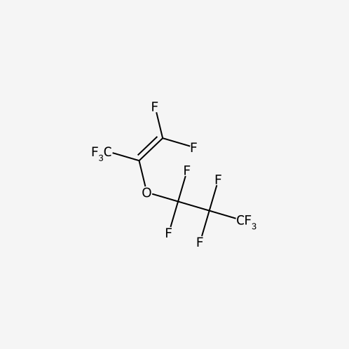 FC(F)=C(OC(F)(F)C(F)(F)C(F)(F)F)C(F)(F)F